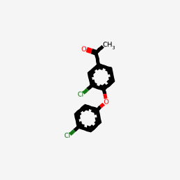 CC(=O)c1ccc(Oc2ccc(Cl)cc2)c(Cl)c1